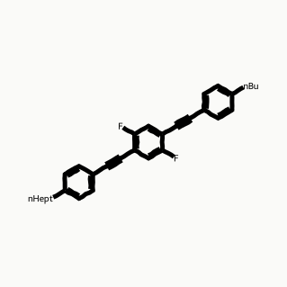 CCCCCCCc1ccc(C#Cc2cc(F)c(C#Cc3ccc(CCCC)cc3)cc2F)cc1